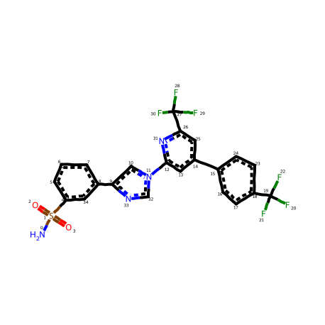 NS(=O)(=O)c1cccc(-c2cn(-c3cc(-c4ccc(C(F)(F)F)cc4)cc(C(F)(F)F)n3)cn2)c1